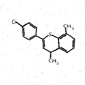 Cc1cccc2c1SC(c1ccc(Cl)cc1)=CC2C